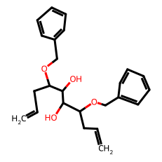 C=CCC(OCc1ccccc1)C(O)C(O)C(CC=C)OCc1ccccc1